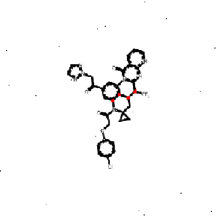 O=C(Cn1nccn1)c1ccc(OCC(F)(F)F)c(-n2c(CN3CCN(C(=O)COc4ccc(Cl)cc4)C4(CC4)C3)nc3ncccc3c2=O)c1